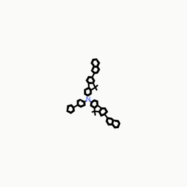 CC1(C)c2cc(-c3ccc4ccccc4c3)ccc2-c2ccc(N(c3ccc(-c4ccccc4)cc3)c3ccc4c(c3)C(C)(C)c3cc(-c5ccc6ccccc6c5)ccc3-4)cc21